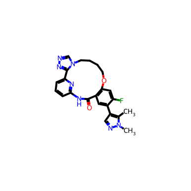 Cc1c(-c2cc3c(cc2F)OCCCCn2cnnc2-c2cccc(n2)NC3=O)cnn1C